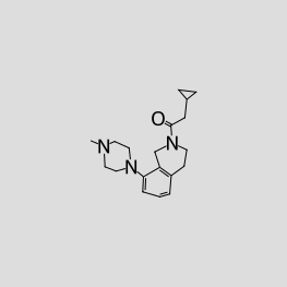 CN1CCN(c2cccc3c2CN(C(=O)CC2CC2)CC3)CC1